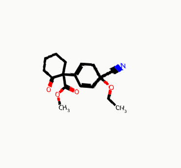 CCOC1(C#N)C=CC(C2(C(=O)OC)CCCCC2=O)=CC1